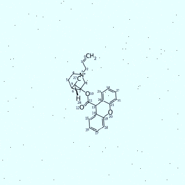 C=CC[N+]12CCC(CC1)[C@@H](OC(=O)C1c3ccccc3Oc3ccccc31)C2